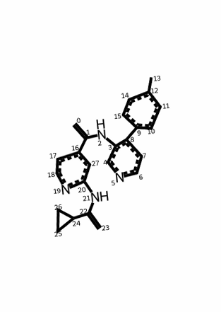 C=C(Nc1cnccc1-c1ccc(C)cc1)c1ccnc(NC(=C)C2CC2)c1